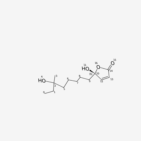 CCC(C)(O)CCCCC[C@@]1(O)C=CC(=O)O1